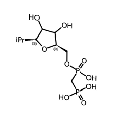 CC(C)[C@@H]1O[C@H](COP(=O)(O)CP(=O)(O)O)C(O)C1O